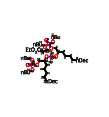 CCCCCCCCCCCCCCC(COP(=O)(OCCCC)OCCCC)OP(=S)(OC(CCCCCCCCCCCCCC)COP(=O)(OCCCC)OCCCC)SCCC(=O)OCC